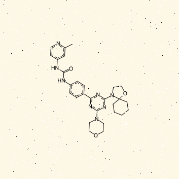 Cc1cc(NC(=O)Nc2ccc(-c3nc(N4CCOCC4)nc(N4CCOC45CCCCC5)n3)cc2)ccn1